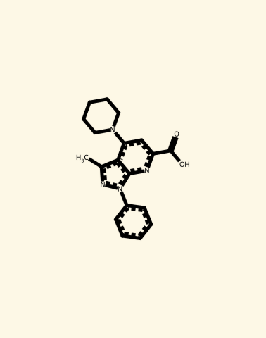 Cc1nn(-c2ccccc2)c2nc(C(=O)O)cc(N3CCCCC3)c12